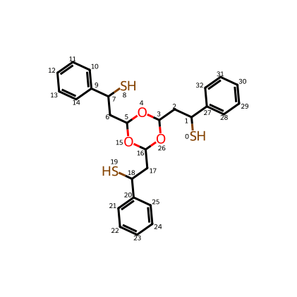 SC(CC1OC(CC(S)c2ccccc2)OC(CC(S)c2ccccc2)O1)c1ccccc1